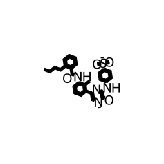 CCCCc1ccccc1C(=O)Nc1cccc(-c2cn(C)c(=O)c(Nc3ccc(S(C)(=O)=O)cc3)n2)c1C